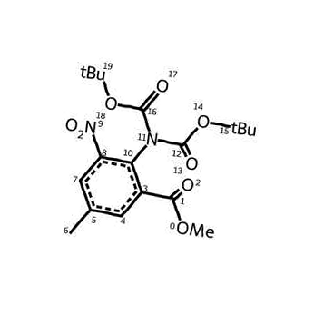 COC(=O)c1cc(C)cc([N+](=O)[O-])c1N(C(=O)OC(C)(C)C)C(=O)OC(C)(C)C